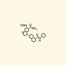 COc1cc2nccc(-c3ccc4c(C(=O)Nc5ccccc5)cccc4c3)c2cc1C(N)=O